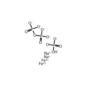 O=P([O-])([O-])O.O=P([O-])([O-])OP(=O)([O-])[O-].[Fe+2].[Fe+2].[Na+].[Na+]